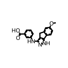 COc1ccc2c(c1)Cc1c(Nc3cccc(C(=O)O)c3)n[nH]c1-2